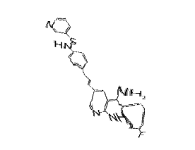 Nc1ncc(C=Cc2ccc(NSc3cccnc3)cc2)cc1C(N)c1ccc(F)cc1